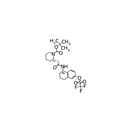 CC(C)(C)OC(=O)N1CCCC[C@H]1CC(=O)N[C@@H]1CCCc2cc(OS(=O)(=O)C(F)(F)F)ccc21